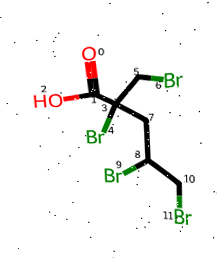 O=C(O)C(Br)(CBr)CC(Br)CBr